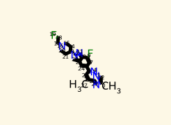 Cc1cn2nc(-c3cc(F)c4nn(C5CCN(CCF)CC5)cc4c3)cc(C)c2n1